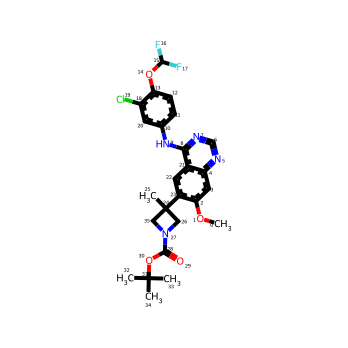 COc1cc2ncnc(Nc3ccc(OC(F)F)c(Cl)c3)c2cc1C1(C)CN(C(=O)OC(C)(C)C)C1